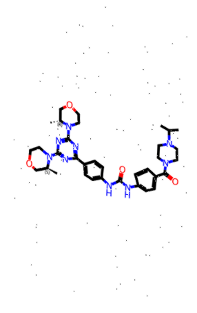 CC(C)N1CCN(C(=O)c2ccc(NC(=O)Nc3ccc(-c4nc(N5CCOC[C@H]5C)nc(N5CCOC[C@@H]5C)n4)cc3)cc2)CC1